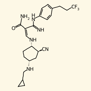 N#C[C@H]1C[C@H](NCC2CC2)CC[C@@H]1N/C=C(\C(=N)Nc1ccc(CCC(F)(F)F)cc1)C(N)=O